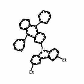 CCc1ccc2c(c1)c1cc(CC)ccc1n2-c1ccc2c(-c3ccccc3)c3ccccc3c(-c3ccccc3)c2c1